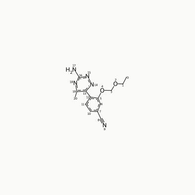 CCOCOc1cc(C#N)ccc1-c1nnc(N)nc1C